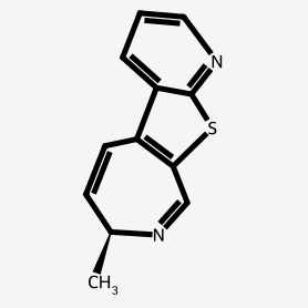 C[C@H]1C=Cc2c(sc3ncccc23)C=N1